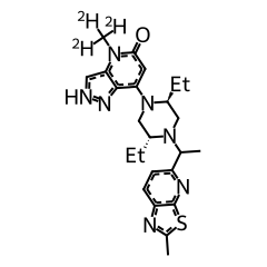 [2H]C([2H])([2H])n1c(=O)cc(N2C[C@@H](CC)N(C(C)c3ccc4nc(C)sc4n3)C[C@@H]2CC)c2n[nH]cc21